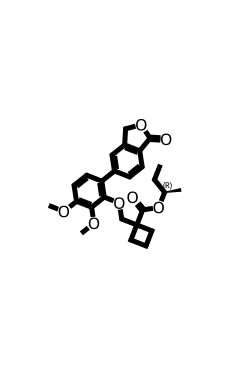 CC[C@@H](C)OC(=O)C1(COc2c(-c3ccc4c(c3)COC4=O)ccc(OC)c2OC)CCC1